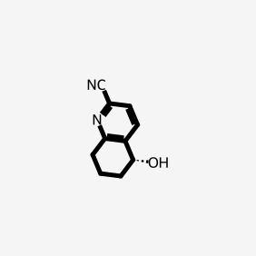 N#Cc1ccc2c(n1)CCC[C@H]2O